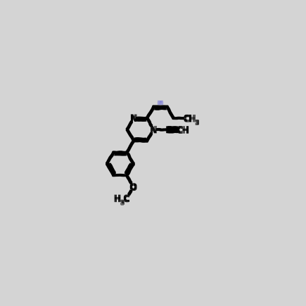 C#CN1C=C(c2cccc(OC)c2)CN=C1/C=C\CC